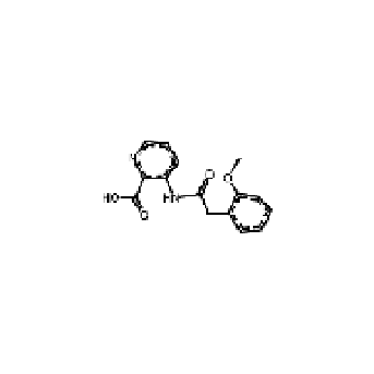 COc1ccccc1CC(=O)Nc1cccnc1C(=O)O